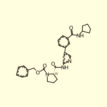 O=C(NC1CCCC1)c1cccc(-c2cnc(NC(=O)[C@@H]3CCCN3C(=O)OCc3ccccc3)s2)c1